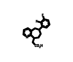 O=C(O)CC1CCC(c2cccc(F)c2F)Cc2cccnc21